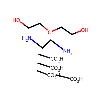 CC(=O)O.CC(=O)O.CC(=O)O.CC(=O)O.NCCN.OCCOCCO